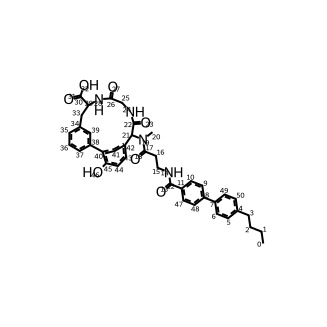 CCCCc1ccc(-c2ccc(C(=O)NCCC(=O)N(C)C3C(=O)NCC(=O)NC(C(=O)O)Cc4cccc(c4)-c4cc3ccc4O)cc2)cc1